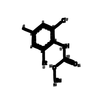 CCc1cc(C)cc(Cl)c1NC(=O)OC(C)(C)C